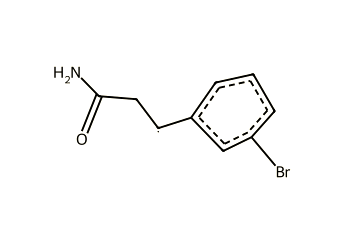 NC(=O)C[CH]c1cccc(Br)c1